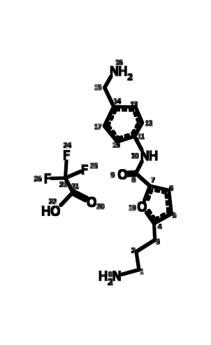 NCCCc1ccc(C(=O)Nc2ccc(CN)cc2)o1.O=C(O)C(F)(F)F